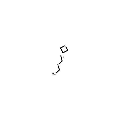 C1COC1.CCOCC